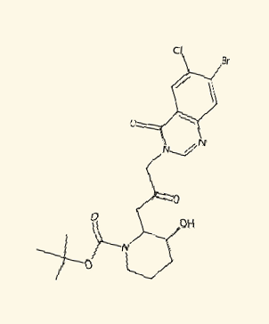 CC(C)(C)OC(=O)N1CCCC(O)C1CC(=O)Cn1cnc2cc(Br)c(Cl)cc2c1=O